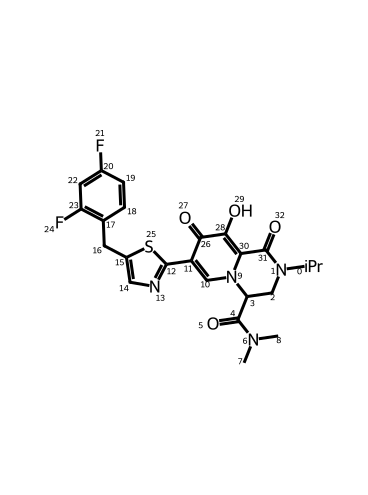 CC(C)N1CC(C(=O)N(C)C)n2cc(-c3ncc(Cc4ccc(F)cc4F)s3)c(=O)c(O)c2C1=O